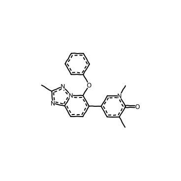 Cc1nc2ccc(-c3cc(C)c(=O)n(C)c3)c(Oc3ccccc3)n2n1